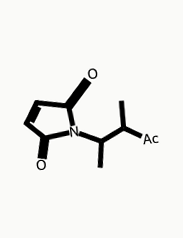 CC(=O)C(C)C(C)N1C(=O)C=CC1=O